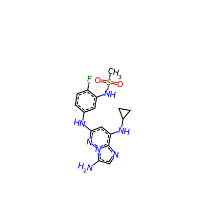 CS(=O)(=O)Nc1cc(Nc2cc(NC3CC3)c3ncc(N)n3n2)ccc1F